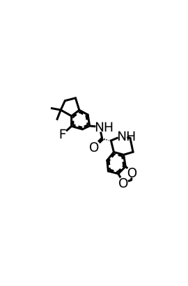 CC1(C)CCc2cc(NC(=O)[C@@H]3NCCc4c3ccc3c4OCO3)cc(F)c21